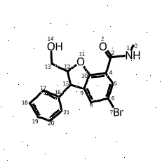 CNC(=O)c1cc(Br)cc2c1OC(CO)C2c1ccccc1